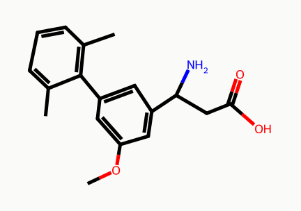 COc1cc(-c2c(C)cccc2C)cc(C(N)CC(=O)O)c1